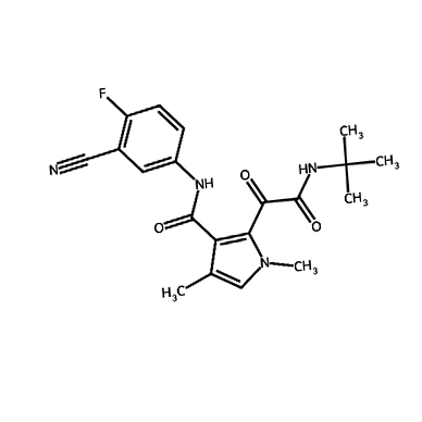 Cc1cn(C)c(C(=O)C(=O)NC(C)(C)C)c1C(=O)Nc1ccc(F)c(C#N)c1